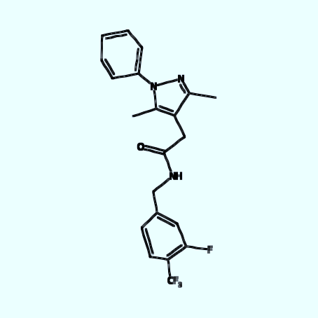 Cc1nn(-c2ccccc2)c(C)c1CC(=O)NCc1ccc(C(F)(F)F)c(F)c1